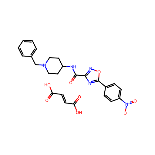 O=C(NC1CCN(Cc2ccccc2)CC1)c1noc(-c2ccc([N+](=O)[O-])cc2)n1.O=C(O)/C=C/C(=O)O